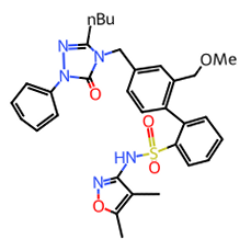 CCCCc1nn(-c2ccccc2)c(=O)n1Cc1ccc(-c2ccccc2S(=O)(=O)Nc2noc(C)c2C)c(COC)c1